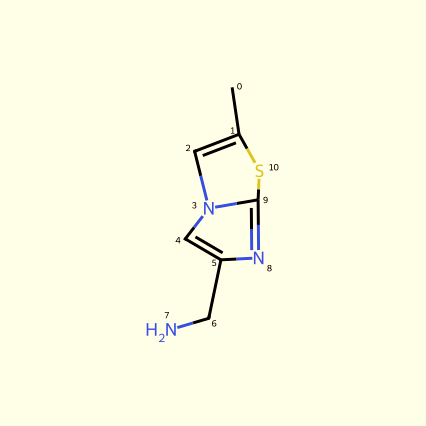 Cc1cn2cc(CN)nc2s1